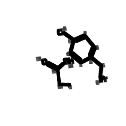 CC(C)Cc1ccc(Cl)cc1.CCC(=O)O